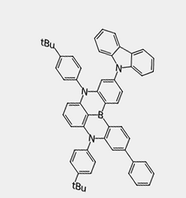 CC(C)(C)c1ccc(N2c3cc(-c4ccccc4)ccc3B3c4ccc(-n5c6ccccc6c6ccccc65)cc4N(c4ccc(C(C)(C)C)cc4)c4cccc2c43)cc1